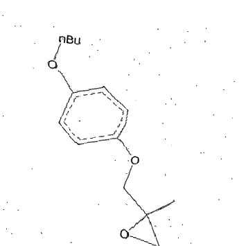 CCCCOc1ccc(OCC2(C)CO2)cc1